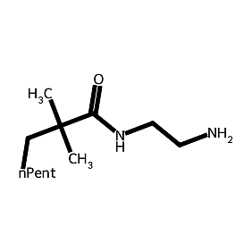 CCCCCCC(C)(C)C(=O)NCCN